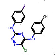 N#Cc1ccc(Nc2nc(Nc3ccc(I)cc3)nnc2Cl)cc1